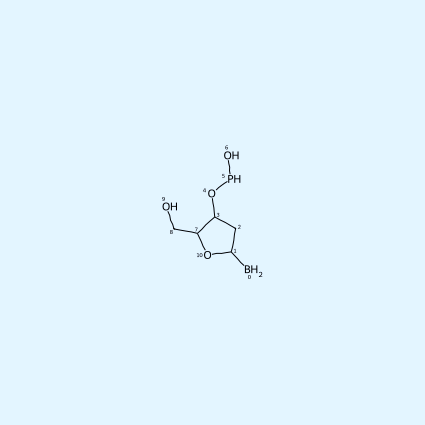 BC1CC(OPO)C(CO)O1